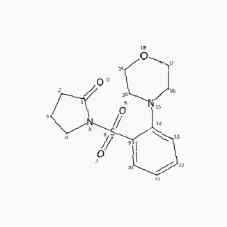 O=C1CCCN1S(=O)(=O)c1ccccc1N1CCOCC1